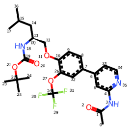 CC(=O)Nc1cc(-c2ccc(OC[C@H](CC(C)C)NC(=O)OC(C)(C)C)c(OC(F)(F)F)c2)ccn1